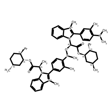 Cc1cc(-c2n([C@H](ON(C)c3ccc(-c4n([C@H](C)C(=O)O[C@@H]5C[C@H](C)CC[C@H]5C(C)C)c5ccccc5[n+]4C)cc3C)C(=O)O[C@@H]3C[C@H](C)CC[C@H]3C(C)C)c3ccccc3[n+]2C)ccc1N(C)C